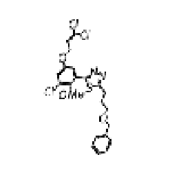 COc1c(Cl)cc(OCC=C(Cl)Cl)cc1-c1nnc(CCCOCc2ccccc2)s1